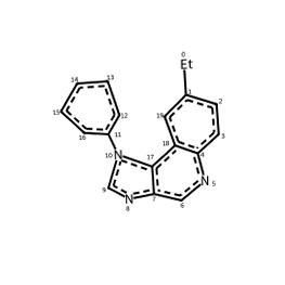 CCc1ccc2ncc3ncn(-c4ccccc4)c3c2c1